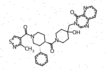 Cc1nscc1C(=O)N1CC[C@@H](C(=O)N2CCC(O)(Cn3cnc4cccnc4c3=O)CC2)[C@H](c2ccccc2)C1